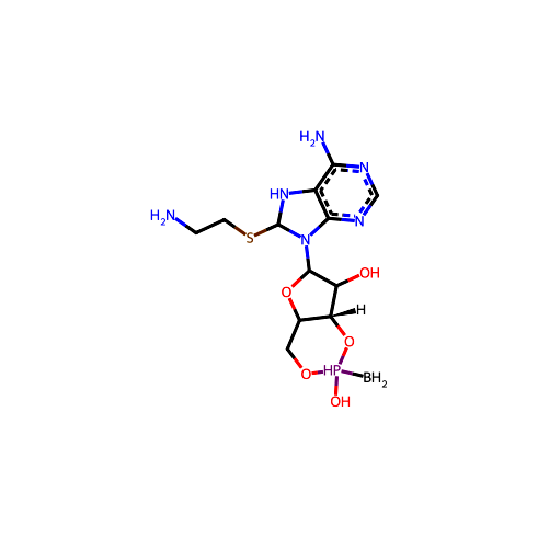 B[PH]1(O)OCC2OC(N3c4ncnc(N)c4NC3SCCN)C(O)[C@@H]2O1